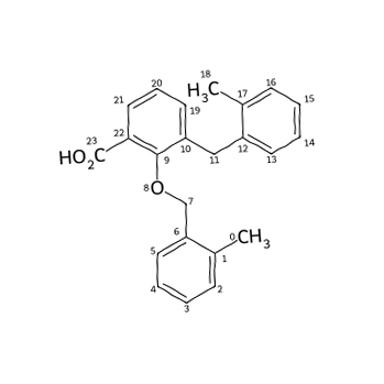 Cc1ccccc1COc1c(Cc2ccccc2C)cccc1C(=O)O